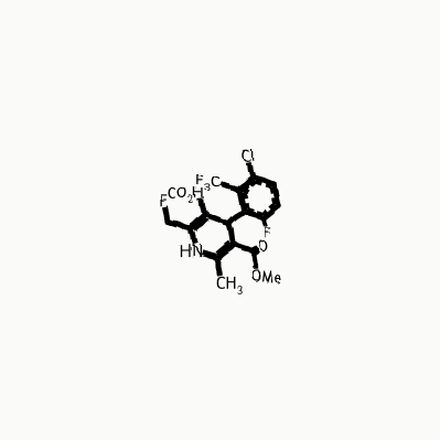 COC(=O)C1=C(C)NC(CF)=C(C(=O)O)C1c1c(F)ccc(Cl)c1C(F)(F)F